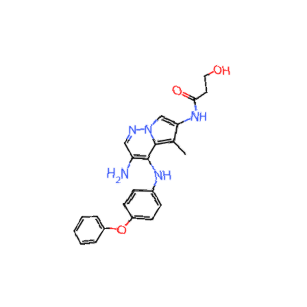 Cc1c(NC(=O)CCO)cn2ncc(N)c(Nc3ccc(Oc4ccccc4)cc3)c12